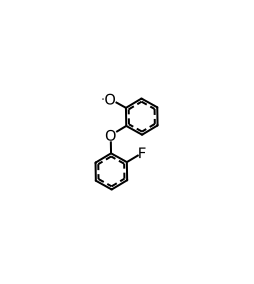 [O]c1ccccc1Oc1ccccc1F